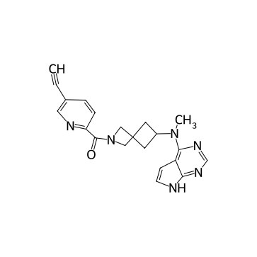 C#Cc1ccc(C(=O)N2CC3(CC(N(C)c4ncnc5[nH]ccc45)C3)C2)nc1